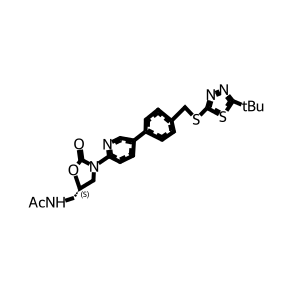 CC(=O)NC[C@H]1CN(c2ccc(-c3ccc(CSc4nnc(C(C)(C)C)s4)cc3)cn2)C(=O)O1